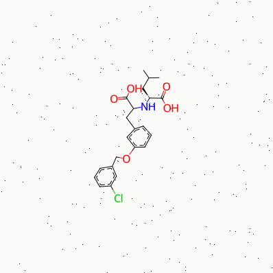 CC(C)C[C@H](NC(Cc1cccc(OCc2cccc(Cl)c2)c1)C(=O)O)C(=O)O